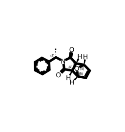 C[C@@H](c1ccccc1)N1C(=O)[C@@H]2[C@H](C1=O)[C@@H]1C=C[C@H]2O1